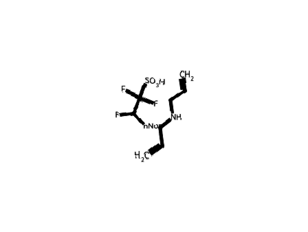 C=CCNCC=C.CCCCCCCCCC(F)C(F)(F)S(=O)(=O)O